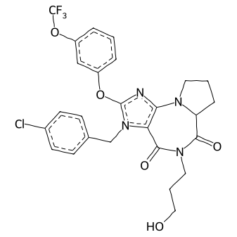 O=C1c2c(nc(Oc3cccc(OC(F)(F)F)c3)n2Cc2ccc(Cl)cc2)N2CCCC2C(=O)N1CCCO